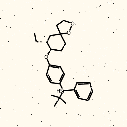 CC[C@@H]1CC2(CCOO2)CC[C@H]1Oc1ccc([SiH](c2ccccc2)C(C)(C)C)cc1